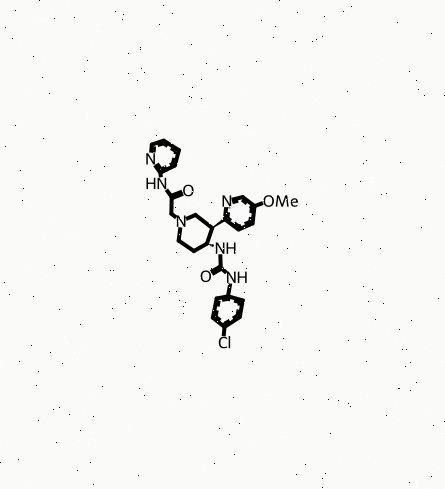 COc1ccc([C@@H]2CN(CC(=O)Nc3ccccn3)CC[C@H]2NC(=O)Nc2ccc(Cl)cc2)nc1